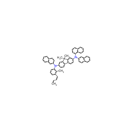 C=C/C=C\c1cccc(N(c2ccc3c(c2)C(C)(C)c2cc(N(c4ccc5ccccc5c4)c4cccc5ccccc45)ccc2-3)c2ccc3ccccc3c2)c1C